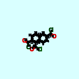 O=C(Cl)c1ccc2c(C(=O)Cl)c(C(=O)Cl)ccc2c1